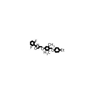 CCc1ccc(OCc2c(C)cc(OCC3COC(c4c(F)cccc4F)=N3)cc2C)cc1